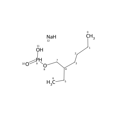 CCCCC(CC)CO[PH](=O)O.[NaH]